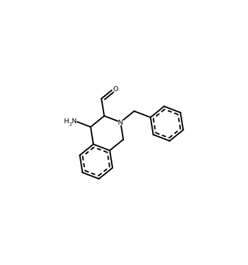 NC1c2ccccc2CN(Cc2ccccc2)C1C=O